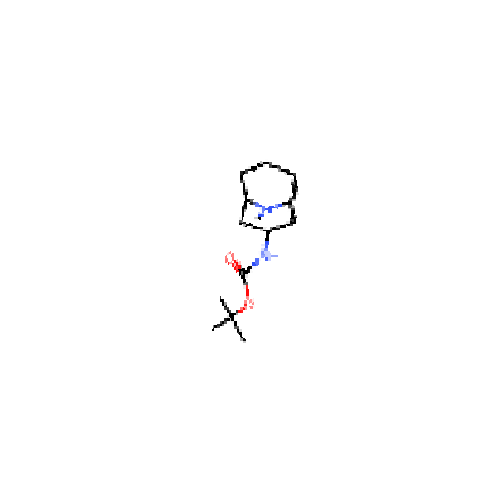 CN1C2CCCC1CC(NC(=O)OC(C)(C)C)C2